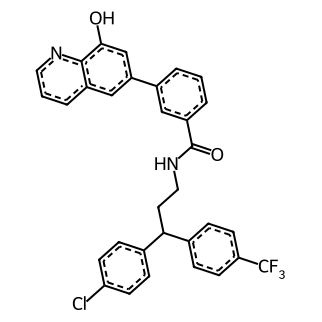 O=C(NCCC(c1ccc(Cl)cc1)c1ccc(C(F)(F)F)cc1)c1cccc(-c2cc(O)c3ncccc3c2)c1